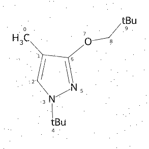 Cc1cn(C(C)(C)C)nc1OCC(C)(C)C